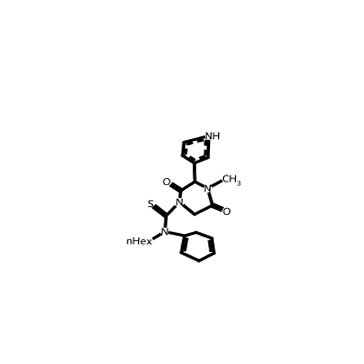 CCCCCCN(C(=S)N1CC(=O)N(C)C(c2cc[nH]c2)C1=O)C1=CCC=CC1